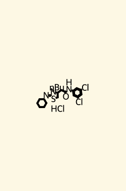 CCCCN1C(=NC2CCCCC2)SCC1CC(=O)Nc1cc(Cl)cc(Cl)c1.Cl